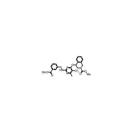 COC(=O)c1cccc(SNc2nc(C)c(C(F)(F)F)c(OC3CN(C(=O)OC(C)(C)C)Cc4ccccc43)n2)c1